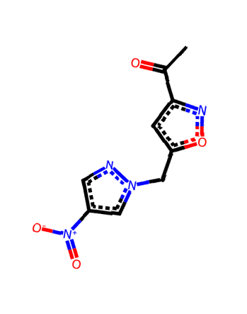 CC(=O)c1cc(Cn2cc([N+](=O)[O-])cn2)on1